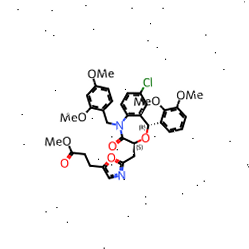 COC(=O)CCc1cnc(C[C@@H]2O[C@@H](c3cccc(OC)c3OC)c3cc(Cl)ccc3N(Cc3ccc(OC)cc3OC)C2=O)o1